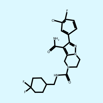 NC(=O)c1c(-c2ccc(F)c(Cl)c2)nn2c1CN(C(=O)NCC1CCC(F)(F)CC1)CC2